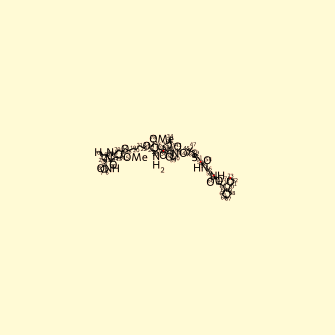 C=C1C[C@@H](C2NCCO2)N(C(=O)c2cc(OC)c(OCCCCCOc3cc(N)c(C(=O)N4CC(=C)C[C@H]4C4OCCN4C(=O)OCC(C)(C)SSCCC(=O)NCCNC(=O)OCC4c5ccccc5-c5ccccc54)cc3OC)cc2N)C1